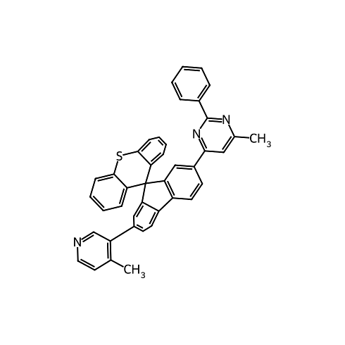 Cc1cc(-c2ccc3c(c2)C2(c4ccccc4Sc4ccccc42)c2cc(-c4cnccc4C)ccc2-3)nc(-c2ccccc2)n1